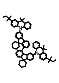 CCC(C)(C)c1ccc2c(c1)C(C)(C)c1ccccc1N2c1ccc2c(c1)-c1c(-c3cccc4c3C3(CCCCC3)c3ccc(N5c6ccccc6C(C)(C)c6cc(C(C)(C)CC)ccc65)cc3-4)cccc1C21CCCCC1